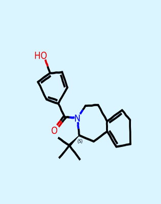 CC(C)(C)[C@@H]1CC2=CCCC=C2CCN1C(=O)c1ccc(O)cc1